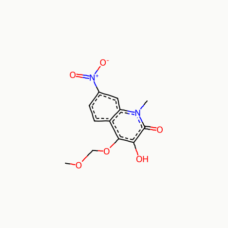 COCOc1c(O)c(=O)n(C)c2cc([N+](=O)[O-])ccc12